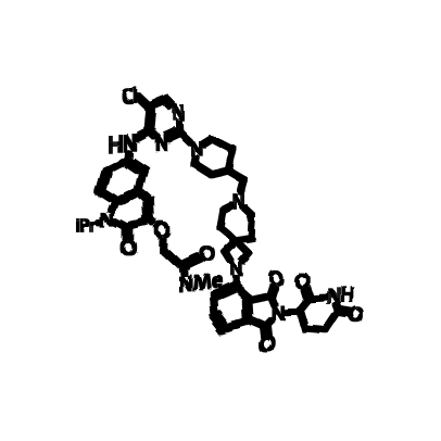 CNC(=O)COc1cc2cc(Nc3nc(N4CCC(CN5CCC6(CC5)CN(c5cccc7c5C(=O)N(C5CCC(=O)NC5=O)C7=O)C6)CC4)ncc3Cl)ccc2n(C(C)C)c1=O